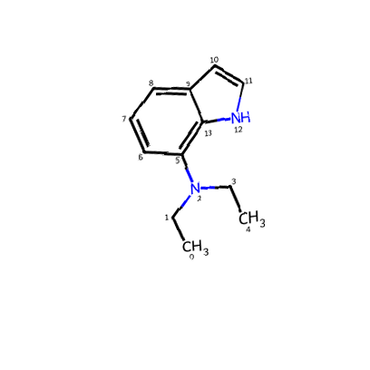 CCN(CC)c1cccc2cc[nH]c12